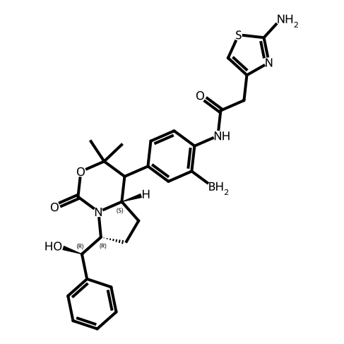 Bc1cc(C2[C@@H]3CC[C@H]([C@H](O)c4ccccc4)N3C(=O)OC2(C)C)ccc1NC(=O)Cc1csc(N)n1